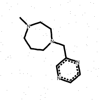 CN1CCCN(Cc2cnccn2)CC1